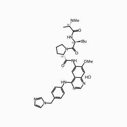 CN[C@@H](C)C(=O)N[C@H](C(=O)N1CCC[C@H]1C(=O)Nc1cc2c(Nc3ccc(Cn4ccnc4)cc3)ncnc2cc1OC)C(C)(C)C.Cl